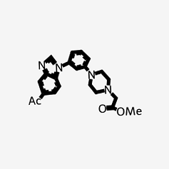 COC(=O)CN1CCN(c2cccc(-n3cnc4cc(C(C)=O)ccc43)c2)CC1